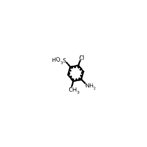 Cc1cc(S(=O)(=O)O)c(Cl)cc1N